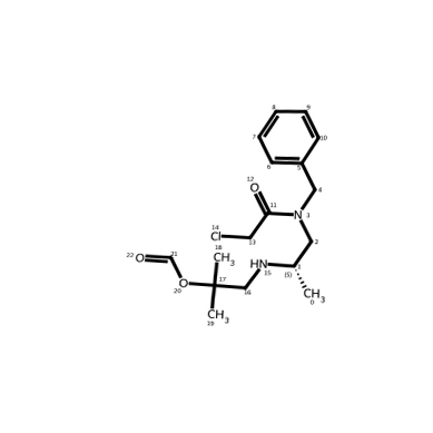 C[C@@H](CN(Cc1ccccc1)C(=O)CCl)NCC(C)(C)OC=O